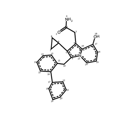 NC(=O)Cc1c(C2CC2)c(Cc2ccccc2-c2ccccc2)n2cccc(O)c12